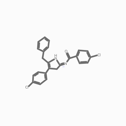 O=C(/N=C1/CC(c2ccc(Cl)cc2)=C(Cc2ccccc2)N1)c1ccc(Cl)cc1